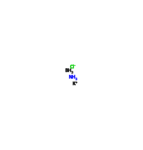 B.N.[Cl-].[K+]